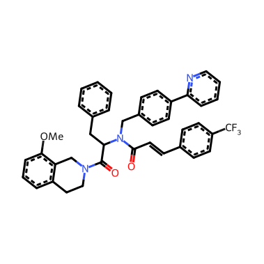 COc1cccc2c1CN(C(=O)C(Cc1ccccc1)N(Cc1ccc(-c3ccccn3)cc1)C(=O)C=Cc1ccc(C(F)(F)F)cc1)CC2